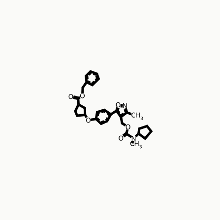 Cc1noc(-c2ccc(OC3CCC(C(=O)OCc4ccccc4)C3)cc2)c1COC(=O)N(C)C1CCCC1